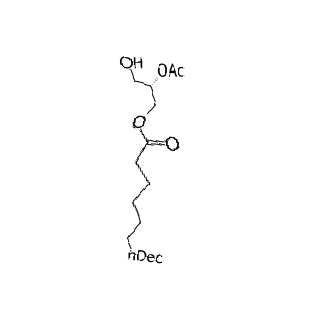 CCCCCCCCCCCCCCCC(=O)OC[C@H](CO)OC(C)=O